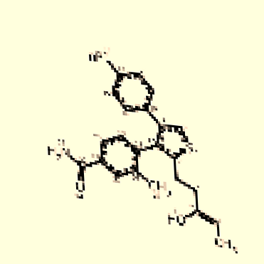 CC=C(O)CCc1scc(-c2ccc(CCC)cc2)c1-c1ccc(C(N)=O)cc1C